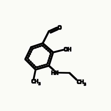 CCNc1c(C)ccc(C=O)c1O